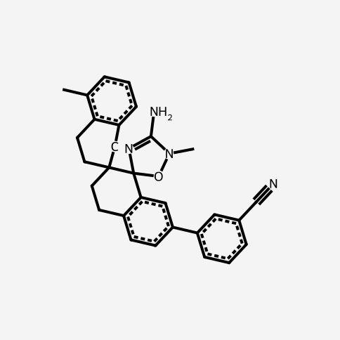 Cc1cccc2c1CCC1(CCc3ccc(-c4cccc(C#N)c4)cc3C13N=C(N)N(C)O3)C2